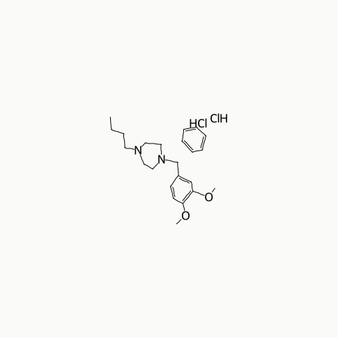 CCCCN1CCN(Cc2ccc(OC)c(OC)c2)CC1.Cl.Cl.c1ccccc1